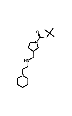 CC(C)(C)OC(=O)N1CCC(CNCCN2CCCCC2)C1